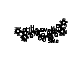 CSc1sc(NC(=O)Nc2cnccc2C(=O)C2CCCC2)nc1C(=O)OC(=O)c1nc(NC(=O)Nc2ccncc2C(=O)C2CCCC2)sc1SC